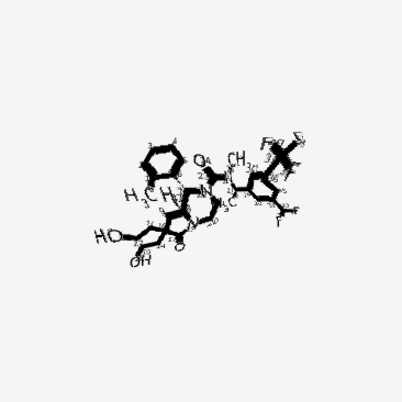 Cc1ccccc1[C@H]1[C@@H]2CC(CCO)(CCO)C(=O)N2CCN1C(=O)N(C)[C@H](C)c1cc(C(F)F)cc(C(F)(F)F)c1